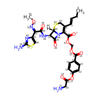 CC/C=C/C1=C(C(=O)OCOC(=O)c2ccc(OC(=O)CN)cc2)N2C(=O)[C@@H](NC(=O)/C(=N\OC)c3csc(N)n3)[C@@H]2SC1